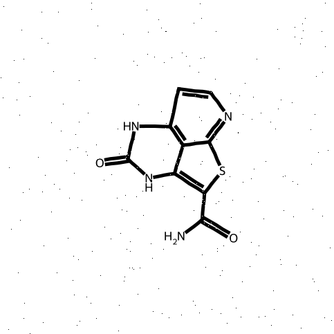 NC(=O)c1sc2nccc3c2c1NC(=O)N3